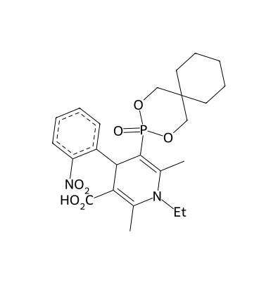 CCN1C(C)=C(C(=O)O)C(c2ccccc2[N+](=O)[O-])C(P2(=O)OCC3(CCCCC3)CO2)=C1C